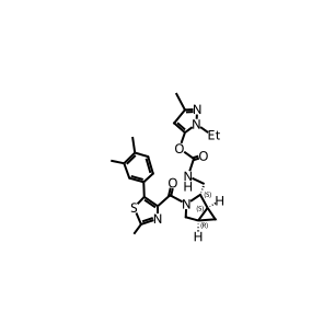 CCn1nc(C)cc1OC(=O)NC[C@@H]1[C@H]2C[C@H]2CN1C(=O)c1nc(C)sc1-c1ccc(C)c(C)c1